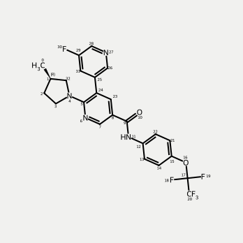 C[C@@H]1CCN(c2ncc(C(=O)Nc3ccc(OC(F)(F)C(F)(F)F)cc3)cc2-c2cncc(F)c2)C1